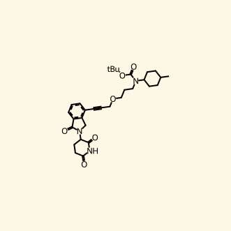 CC1CCC(N(CCCOCC#Cc2cccc3c2CN(C2CCC(=O)NC2=O)C3=O)C(=O)OC(C)(C)C)CC1